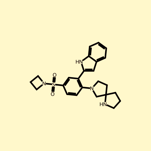 O=S(=O)(c1ccc(N2CCC3(CCCN3)C2)c(-c2cc3ccccc3[nH]2)c1)N1CCC1